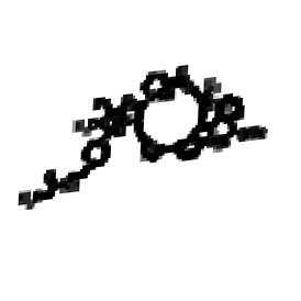 C=CC(=O)NCCN1CCN(C(=O)N(C)[C@H](C(=O)N[C@H]2Cc3nc(cs3)-c3ccc4c(c3)c(c(-c3cccnc3[C@H](C)OC)n4CC)CC(C)(C)COC(=O)[C@@]3([SiH3])CCCN(N3)C2=O)C(C)C)CC1